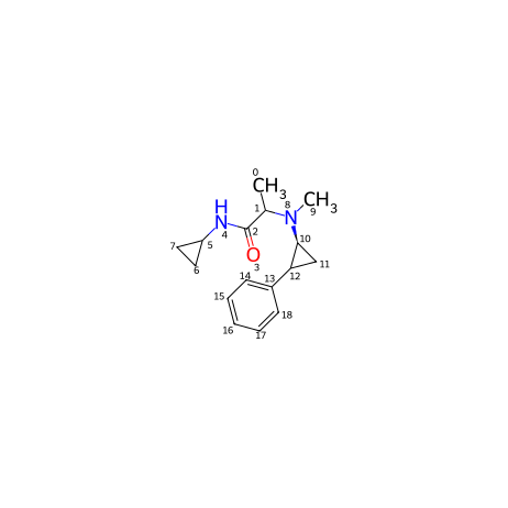 CC(C(=O)NC1CC1)N(C)[C@H]1CC1c1ccccc1